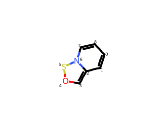 C1=CC2=COSN2C=C1